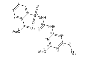 COC(=O)c1ccccc1S(=O)(=O)NC(=O)Nc1nc(OC)nc(OC(F)(F)F)n1